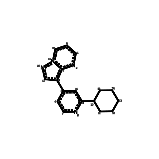 c1cnc2c(-c3ccnc(C4CCCCC4)c3)cnn2c1